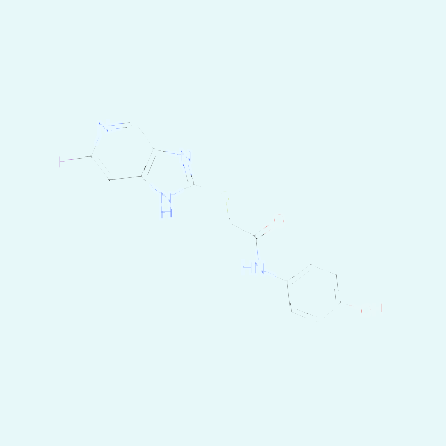 O=C(CSc1nc2cnc(I)cc2[nH]1)Nc1ccc(O)cc1